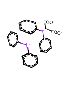 O=C([O-])CC(=O)[O-].c1ccc([I+]c2ccccc2)cc1.c1ccc([I+]c2ccccc2)cc1